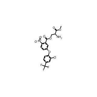 COC(=O)C(N)COC(=O)c1cc(Oc2ccc(C(F)(F)F)cc2Cl)ccc1[N+](=O)[O-]